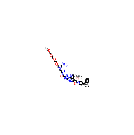 CCOCCOCCOCCOCCN(CCN)CCCNC(=O)c1ncn(-c2ncc(OC)c3c(C(=O)C(=O)N4CCC(=C(C#N)c5ccccc5)CC4)c[nH]c23)n1